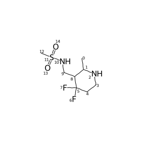 CC1NCCC(F)(F)C1CNS(C)(=O)=O